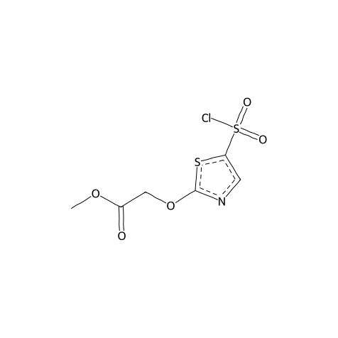 COC(=O)COc1ncc(S(=O)(=O)Cl)s1